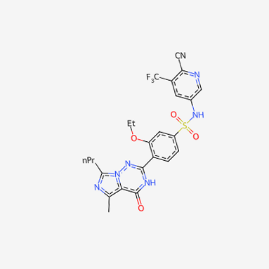 CCCc1nc(C)c2c(=O)[nH]c(-c3ccc(S(=O)(=O)Nc4cnc(C#N)c(C(F)(F)F)c4)cc3OCC)nn12